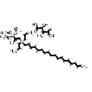 CCCCCCCCCCCCCCCCCC[N+](CCC)(CCC)CC(C)[Si](OC)(OC)OC.O=C(O)C(O)C(O)C(=O)O